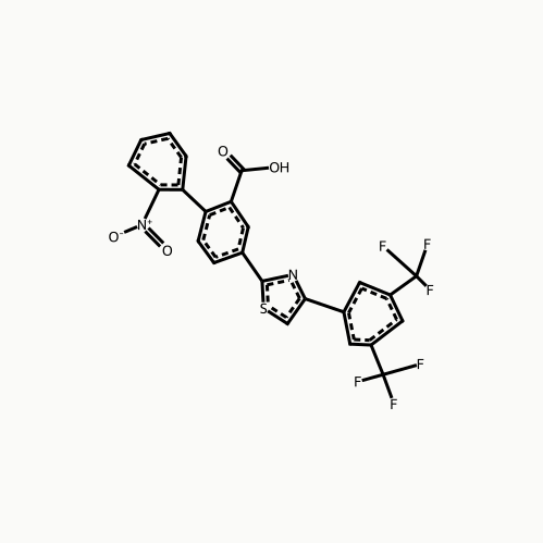 O=C(O)c1cc(-c2nc(-c3cc(C(F)(F)F)cc(C(F)(F)F)c3)cs2)ccc1-c1ccccc1[N+](=O)[O-]